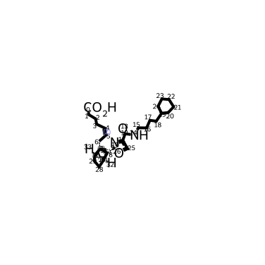 O=C(O)CCC/C=C\C[C@@H]1[C@H](c2nc(C(=O)NCCCCC3CCCCC3)co2)[C@H]2CC[C@@H]1O2